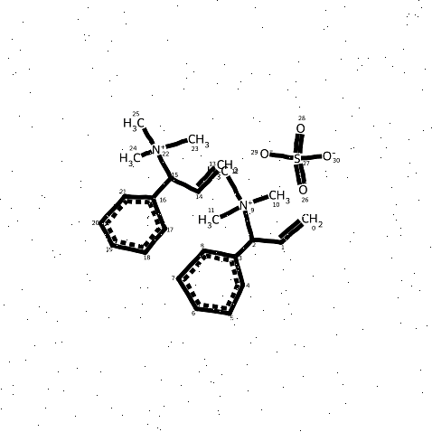 C=CC(c1ccccc1)[N+](C)(C)C.C=CC(c1ccccc1)[N+](C)(C)C.O=S(=O)([O-])[O-]